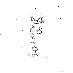 [2H]C([2H])([2H])Oc1ccc(CN2CCN(C3CC4(CCN(c5ccc(C(N)=O)cc5)CC4)C3)[C@H](c3ccccc3C(C)C)C2)c2cc(C)oc12